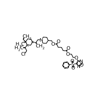 C=C[C@]1(C)CC[C@@H](C(=C)CN2CCC(COC(=O)CCCC(=O)OCCOc3nonc3S(=O)(=O)c3ccccc3)CC2)C[C@H]1C(=C)CCl